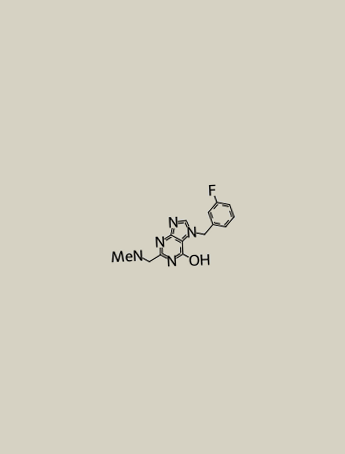 CNCc1nc(O)c2c(ncn2Cc2cccc(F)c2)n1